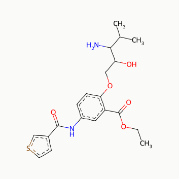 CCOC(=O)c1cc(NC(=O)c2ccsc2)ccc1OCC(O)C(N)C(C)C